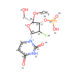 CO[C@]1(CO)O[C@@H](n2ccc(=O)[nH]c2=O)C(F)[C@H]1O[PH](=O)O